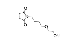 O=C1C=CC(=O)N1CCCCOCCO